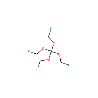 FCO[Si](OCF)(OCF)OCF